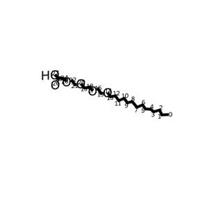 CCCCCCCCCCCCCCOCCOCCOCCOCC(=O)O